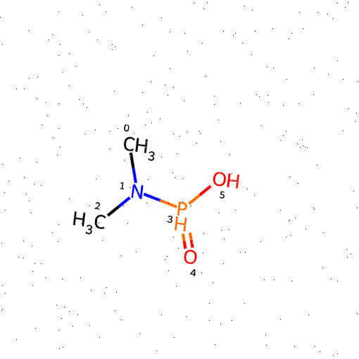 CN(C)[PH](=O)O